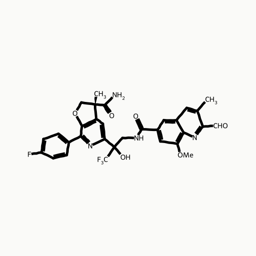 COc1cc(C(=O)NCC(O)(c2cc3c(c(-c4ccc(F)cc4)n2)OC[C@]3(C)C(N)=O)C(F)(F)F)cc2cc(C)c(C=O)nc12